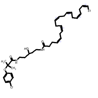 CC/C=C\C/C=C\C/C=C\C/C=C\C/C=C\C/C=C\CCC(=O)NCCC(O)CCNC(=O)C(C)(C)Oc1ccc(Cl)cc1